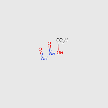 N=O.N=O.O=C(O)O